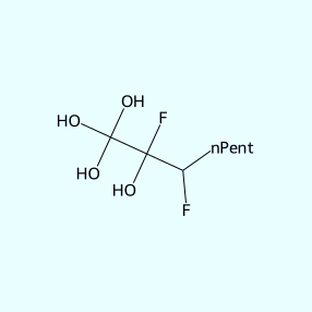 CCCCCC(F)C(O)(F)C(O)(O)O